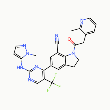 Cc1ncccc1CC(=O)N1CCc2cc(-c3nc(Nc4ccnn4C)ncc3C(F)(F)F)cc(C#N)c21